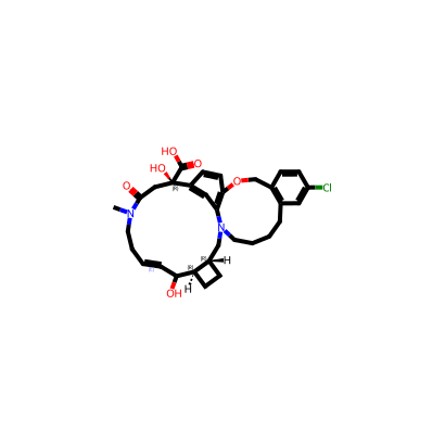 CN1CC/C=C/C(O)[C@@H]2CC[C@H]2CN2CCCCc3cc(Cl)ccc3COc3ccc(cc32)[C@@](O)(C(=O)O)CC1=O